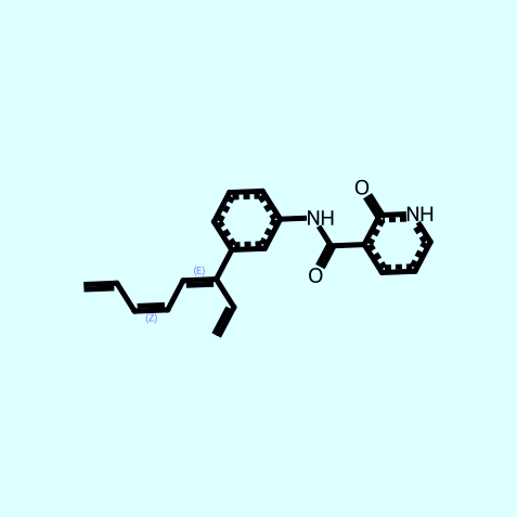 C=C/C=C\C=C(/C=C)c1cccc(NC(=O)c2ccc[nH]c2=O)c1